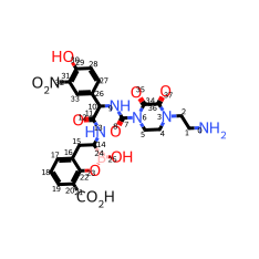 NCCN1CCN(C(=O)NC(C(=O)NC2Cc3cccc(C(=O)O)c3OB2O)c2ccc(O)c([N+](=O)[O-])c2)C(=O)C1=O